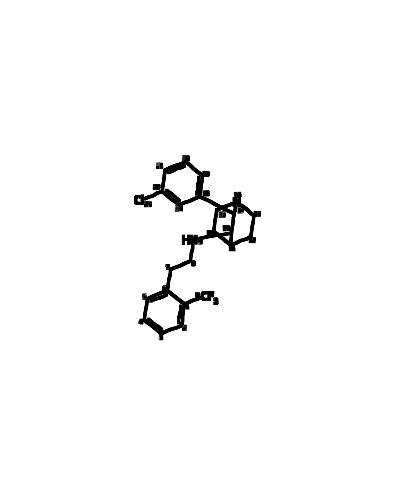 FC(F)(F)c1ccccc1CCNC1C2CCN(CC2)C1c1cccc(Cl)c1